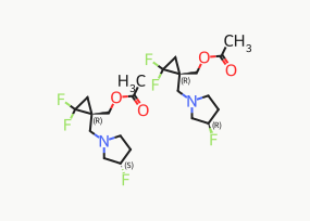 CC(=O)OC[C@]1(CN2CC[C@@H](F)C2)CC1(F)F.CC(=O)OC[C@]1(CN2CC[C@H](F)C2)CC1(F)F